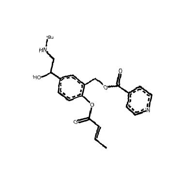 C/C=C/C(=O)Oc1ccc(C(O)CNC(C)(C)C)cc1COC(=O)c1ccncc1